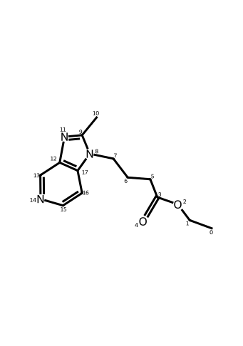 CCOC(=O)CCCn1c(C)nc2cnccc21